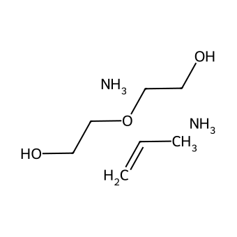 C=CC.N.N.OCCOCCO